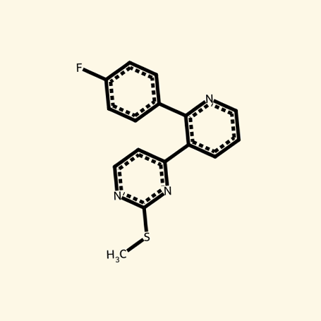 CSc1nccc(-c2cccnc2-c2ccc(F)cc2)n1